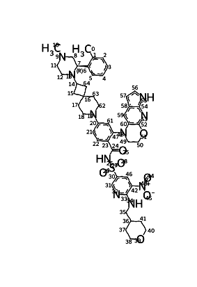 Cc1ccccc1[C@@H]1CN(C)CCN1C1CC2(CCN(c3ccc(C(=O)NS(=O)(=O)c4cnc(NCC5CCOCC5)c([N+](=O)[O-])c4)c(N4CCOc5nc6[nH]ccc6cc54)c3)CC2)C1